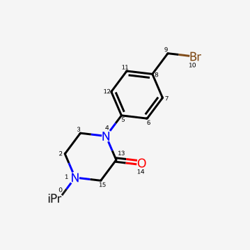 CC(C)N1CCN(c2ccc(CBr)cc2)C(=O)C1